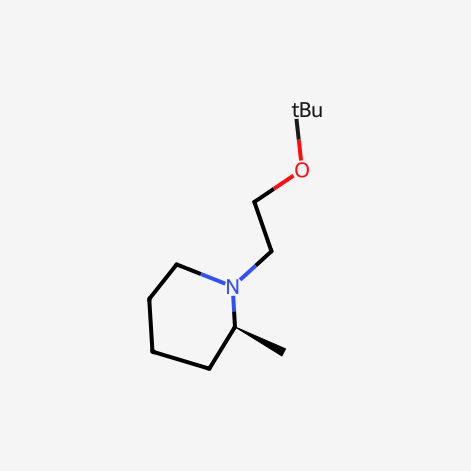 C[C@H]1CCCCN1CCOC(C)(C)C